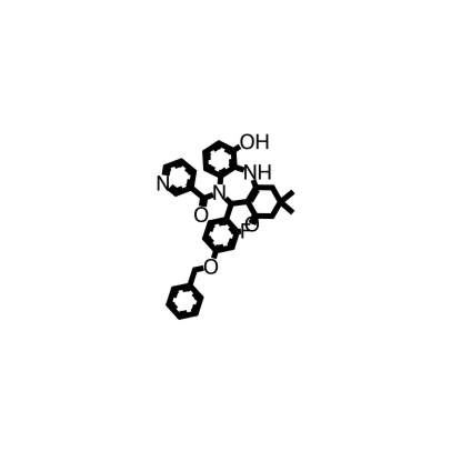 CC1(C)CC(=O)C2=C(C1)Nc1c(O)cccc1N(C(=O)c1cccnc1)C2c1ccc(OCc2ccccc2)cc1F